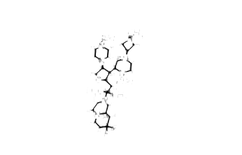 CN1CC(N2CCN(C(C)(C)C)C(C3C(CC(C)(C)N4CCN5CCC(F)(F)CC5C4)OCC3N3CCN(C(C)(C)C)CC3)C2)C1